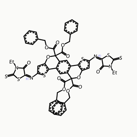 CCN1C(=O)/C(=N\c2cc3c(s2)-c2cc4c(cc2C(C(=O)OCc2ccccc2)(C(=O)OCc2ccccc2)O3)-c2sc(/N=C3/SC(=S)N(CC)C3=O)cc2OC4(C(=O)OCc2ccccc2)C(=O)OCc2ccccc2)SC1=S